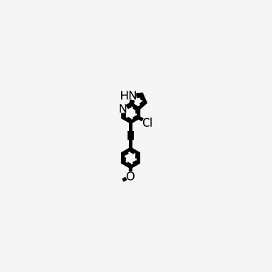 COc1ccc(C#Cc2cnc3[nH]ccc3c2Cl)cc1